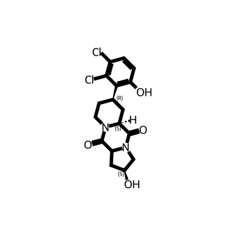 O=C1[C@@H]2C[C@H](c3c(O)ccc(Cl)c3Cl)CCN2C(=O)C2C[C@H](O)CN12